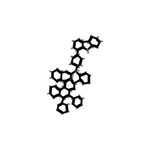 c1ccc(-c2c(-c3ccccc3)c3cc(-c4ccccc4N(c4ccc(-c5cccc6c5oc5ccccc56)cc4)c4ccc5ccccc5c4)ccc3c3ccccc23)cc1